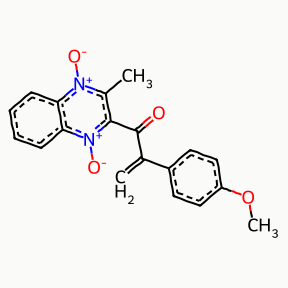 C=C(C(=O)c1c(C)[n+]([O-])c2ccccc2[n+]1[O-])c1ccc(OC)cc1